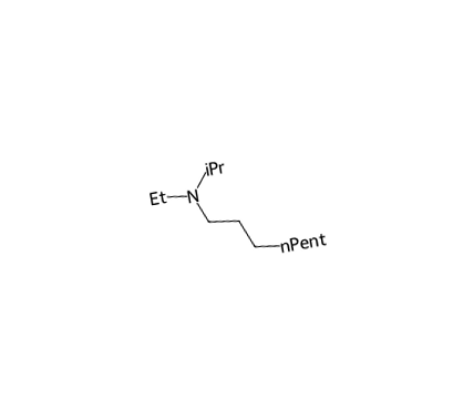 CCCCCCCCN(CC)C(C)C